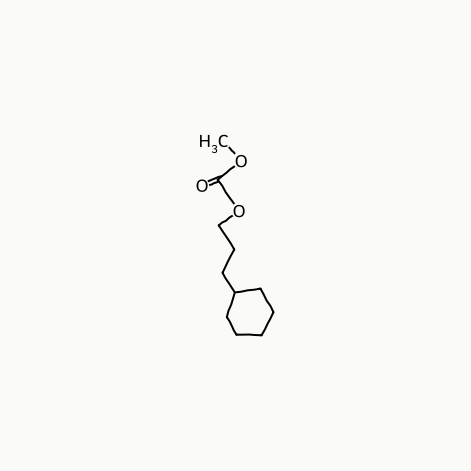 COC(=O)OCCCC1CCCCC1